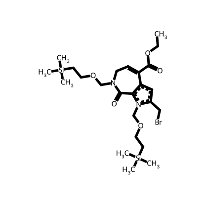 CCOC(=O)C1=CCN(COCC[Si](C)(C)C)C(=O)c2c1cc(CBr)n2COCC[Si](C)(C)C